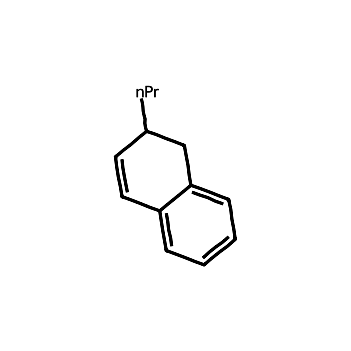 CCCC1C=Cc2ccccc2C1